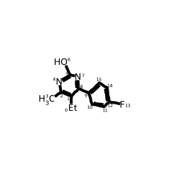 [CH2]Cc1c(C)nc(O)nc1-c1ccc(F)cc1